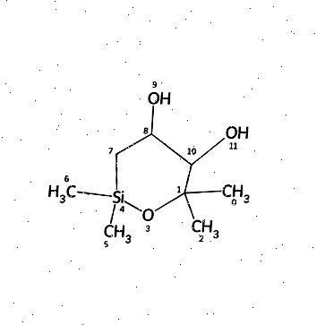 CC1(C)O[Si](C)(C)CC(O)C1O